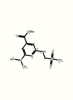 CCCN(C)c1cc(C(=O)OC)cc(NCS(C)(=O)=O)n1